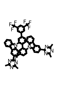 Cc1nc(C)nc(-c2ccc3c(c2)c2ccccc2n3-c2ccc(C#N)cc2-c2ccc(-c3cc(C(F)(F)F)cc(C(F)(F)F)c3)cc2-n2c3ccccc3c3cc(-c4nc(C)nc(C)n4)ccc32)n1